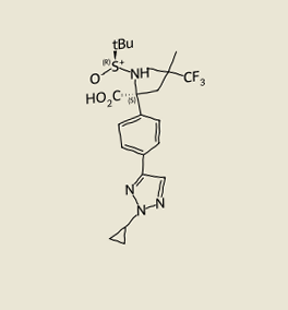 CC(C)(C)[S@+]([O-])N[C@](CC(C)(C)C(F)(F)F)(C(=O)O)c1ccc(-c2cnn(C3CC3)n2)cc1